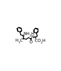 C=C(CCC(=O)N[C@@H](Cc1ccccc1)C(=O)O)[C@@H](N)Cc1ccccc1